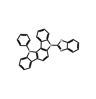 c1ccc(-n2c3ccccc3c3ccc4c(c5ccccc5n4-c4nc5ccccc5o4)c32)cc1